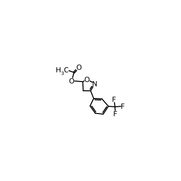 CC(=O)OC1CC(c2cccc(C(F)(F)F)c2)=NO1